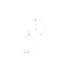 CNC(Cc1ccc2c(c1)OCO2)C1CCNC1